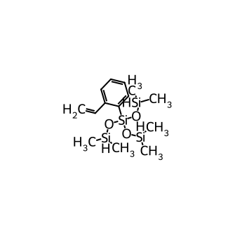 C=Cc1ccccc1[Si](O[SiH](C)C)(O[SiH](C)C)O[SiH](C)C